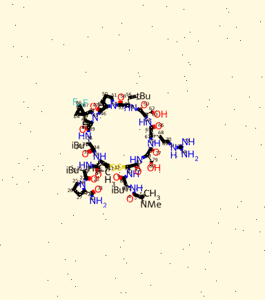 CC[C@H](C)[C@H](NC(=O)[C@H](C)NC)C(=O)N[C@H]1SSC(C)(C)[C@@H](C(=O)N[C@H](C(=O)N2CCC[C@H]2C(N)=O)[C@@H](C)CC)NC(=O)[C@H]([C@@H](C)CC)NC(=O)[C@@H]2C[C@@]3(CN2C(=O)[C@@H]2CCCN2C(=O)[C@H](CC(C)(C)C)NC(=O)[C@H](CO)NC(=O)[C@H](CCCNC(=N)N)NC(=O)[C@H](CO)NC1=O)CC3(F)F